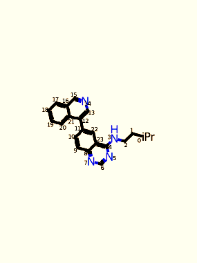 CC(C)CCNc1ncnc2ccc(-c3cncc4ccccc34)cc12